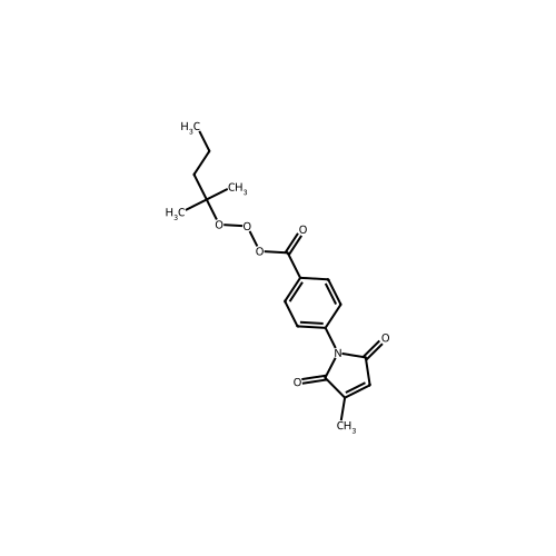 CCCC(C)(C)OOOC(=O)c1ccc(N2C(=O)C=C(C)C2=O)cc1